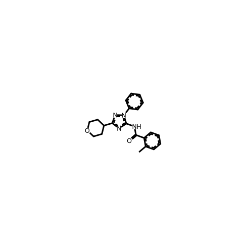 Cc1ccccc1C(=O)Nc1nc(C2CCOCC2)nn1-c1ccccc1